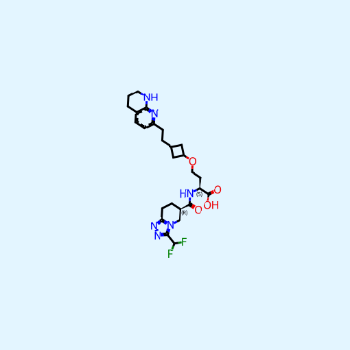 O=C(N[C@@H](CCOC1CC(CCc2ccc3c(n2)NCCC3)C1)C(=O)O)[C@@H]1CCc2nnc(C(F)F)n2C1